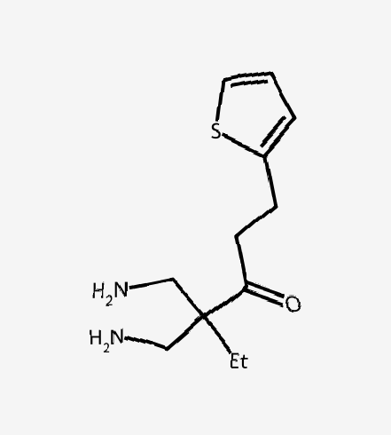 CCC(CN)(CN)C(=O)CCc1cccs1